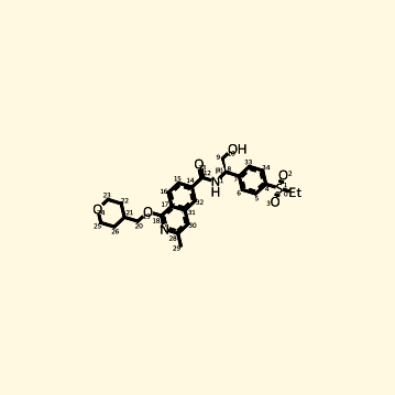 CCS(=O)(=O)c1ccc([C@H](CO)NC(=O)c2ccc3c(OCC4CCOCC4)nc(C)cc3c2)cc1